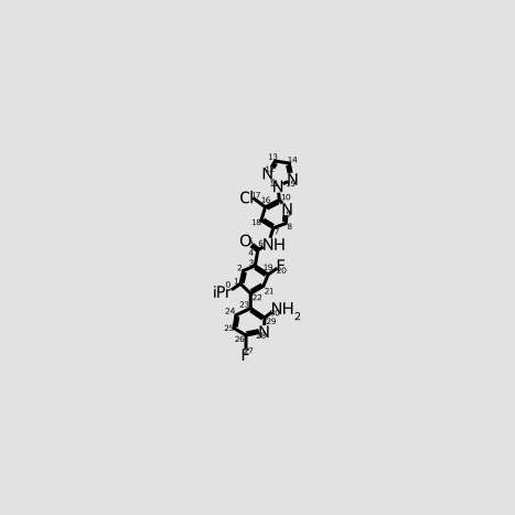 CC(C)c1cc(C(=O)Nc2cnc(-n3nccn3)c(Cl)c2)c(F)cc1-c1ccc(F)nc1N